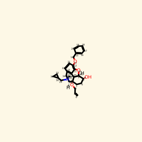 C=CCO[C@@]12CC[C@H](O)[C@@H]3Oc4c(OCc5ccccc5)ccc5c4[C@@]31CCN(CC1CC1)[C@@H]2C5